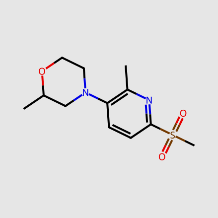 Cc1nc(S(C)(=O)=O)ccc1N1CCOC(C)C1